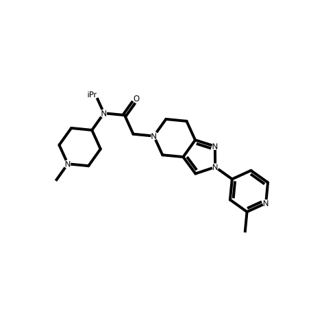 Cc1cc(-n2cc3c(n2)CCN(CC(=O)N(C(C)C)C2CCN(C)CC2)C3)ccn1